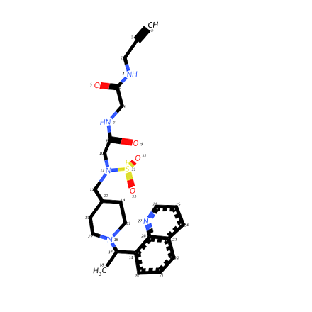 C#CCNC(=O)CNC(=O)CN(CC1CCN(C(C)c2cccc3cccnc23)CC1)[SH](=O)=O